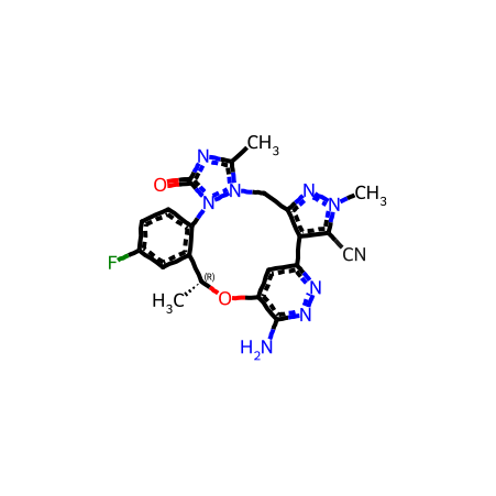 Cc1nc(=O)n2n1Cc1nn(C)c(C#N)c1-c1cc(c(N)nn1)O[C@H](C)c1cc(F)ccc1-2